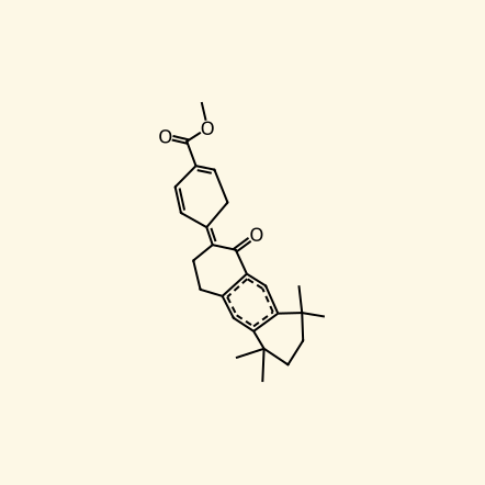 COC(=O)C1=CCC(=C2CCc3cc4c(cc3C2=O)C(C)(C)CCC4(C)C)C=C1